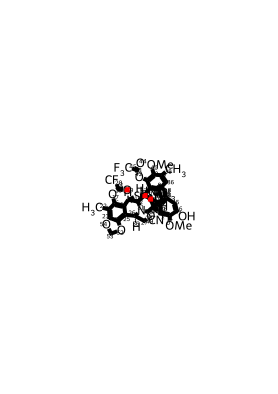 COc1cc2c(cc1O)CCN[C@]21CS[C@@H]2c3c(OC(=O)C(F)(F)F)c(C)c4c(c3[C@H](COC1=O)N1C2[C@@H]2c3c(cc(C)c(OC)c3OC(=O)C(F)(F)F)C[C@H]([C@@H]1C#N)N2C)OCO4